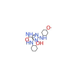 COC1CCC(Nc2ncc(C(N)=O)c(N[C@@H]3CCCC[C@@H]3O)n2)CC1